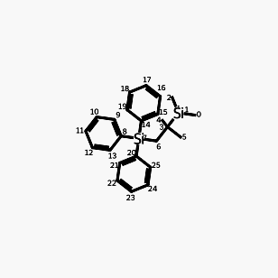 C[Si](C)C(C)(C)C[Si](c1ccccc1)(c1ccccc1)c1ccccc1